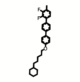 Cc1ccc(-c2ccc(-c3ccc(OCCCCCC4CCCCC4)cc3)cc2)c(F)c1F